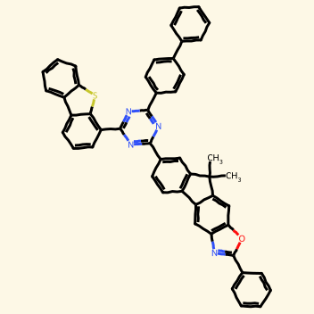 CC1(C)c2cc(-c3nc(-c4ccc(-c5ccccc5)cc4)nc(-c4cccc5c4sc4ccccc45)n3)ccc2-c2cc3nc(-c4ccccc4)oc3cc21